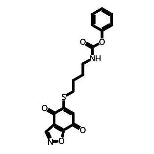 O=C(NCCCCSC1=CC(=O)c2oncc2C1=O)Oc1ccccc1